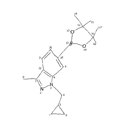 Cc1nn(CC2CC2)c2cc(B3OC(C)(C)C(C)(C)O3)ccc12